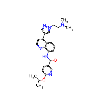 CC(C)Oc1ccc(C(=O)Nc2cccc3c(-c4cnn(CCN(C)C)c4)ccnc23)cn1